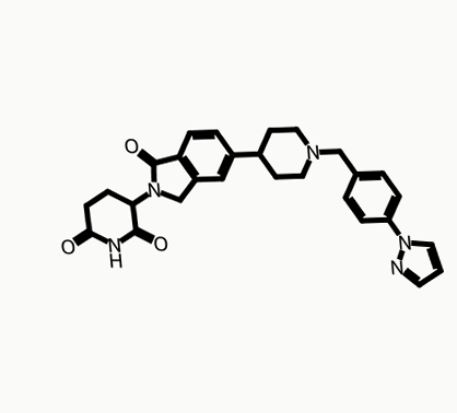 O=C1CCC(N2Cc3cc(C4CCN(Cc5ccc(-n6cccn6)cc5)CC4)ccc3C2=O)C(=O)N1